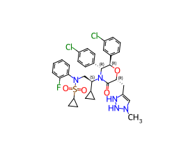 CN1C=C(C[C@H]2O[C@H](c3cccc(Cl)c3)[C@@H](c3ccc(Cl)cc3)N([C@H](CN(c3ccccc3F)S(=O)(=O)C3CC3)C3CC3)C2=O)NN1